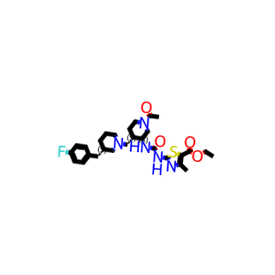 CCOC(=O)c1sc(NC(=O)N[C@H]2CN(C(C)=O)CC[C@H]2CN2CCC[C@@H](Cc3ccc(F)cc3)C2)nc1C